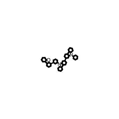 c1ccc(-n2c3ccccc3c3ccc(-c4ccc5c6ccccc6n(-c6cccc(-c7cccc8c7oc7ccccc78)c6)c5c4)cc32)cc1